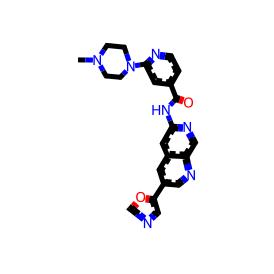 CN1CCN(c2cc(C(=O)Nc3cc4cc(-c5cnco5)cnc4cn3)ccn2)CC1